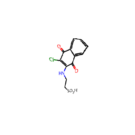 O=C1C(Cl)=C(NCCS(=O)(=O)O)C(=O)c2ccccc21